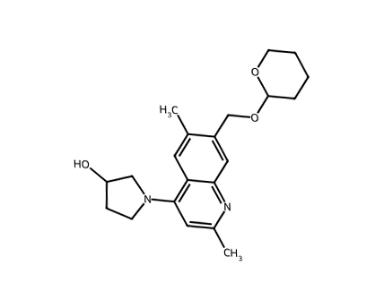 Cc1cc(N2CCC(O)C2)c2cc(C)c(COC3CCCCO3)cc2n1